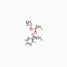 C=C(COC(C)OCCC)c1ccccc1